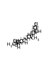 Cc1cc(NCc2ccc(NS(=O)(=O)C(C)C)cc2)ccc1N1CCC(O)(c2ccc(Cl)cc2)CC1